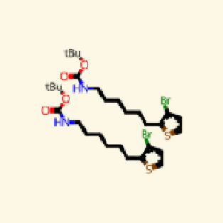 CC(C)(C)OC(=O)NCCCCCCc1sccc1Br.CC(C)(C)OC(=O)NCCCCCCc1sccc1Br